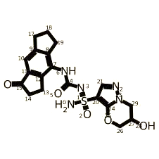 NS(=O)(=NC(=O)Nc1c2c(cc3c1CCC3=O)CCC2)c1cnn2c1OCC(O)C2